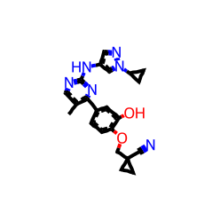 Cc1cnc(Nc2cnn(C3CC3)c2)nc1-c1ccc(OCC2(C#N)CC2)c(O)c1